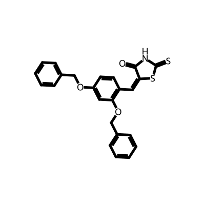 O=C1NC(=S)SC1=Cc1ccc(OCc2ccccc2)cc1OCc1ccccc1